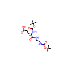 CC(C)(C)OC(=O)NCCNC(=O)[C@@H](CCC(=O)O)NC(=O)OC(C)(C)C